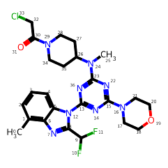 Cc1cccc2c1nc(C(F)F)n2-c1nc(N2CCOCC2)nc(N(C)C2CCN(C(=O)CCl)CC2)n1